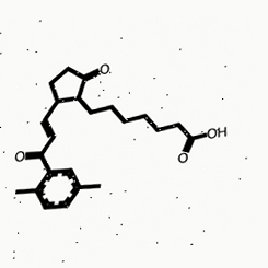 Cc1ccc(C)c(C(=O)C=CC2CCC(=O)C2CCCCCCC(=O)O)c1